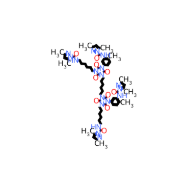 Cc1cc(C)n(C(=O)NCCCCCCn2c(=O)n(CCCCCCn3c(=O)n(CCCCCCNC(=O)n4nc(C)cc4C)c(=O)n(-c4ccc(C)c(NC(=O)n5nc(C)cc5C)c4)c3=O)c(=O)n(-c3ccc(C)c(NC(=O)n4nc(C)cc4C)c3)c2=O)n1